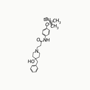 CC(C)(C)[Si](C)(C)Oc1ccc(NC(=O)CCN2CCC(O)(Cc3ccccc3)CC2)cc1